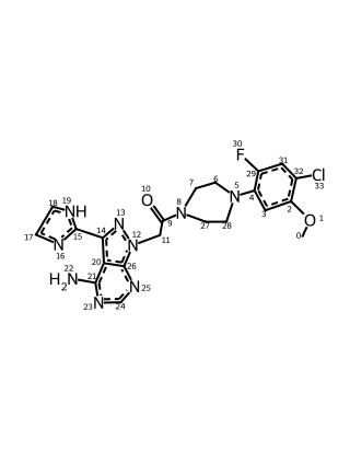 COc1cc(N2CCN(C(=O)Cn3nc(-c4ncc[nH]4)c4c(N)ncnc43)CC2)c(F)cc1Cl